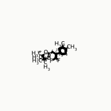 Cc1ccc(C(CB2OC(C)(C)C(C)(C)O2)=C(F)F)cc1C